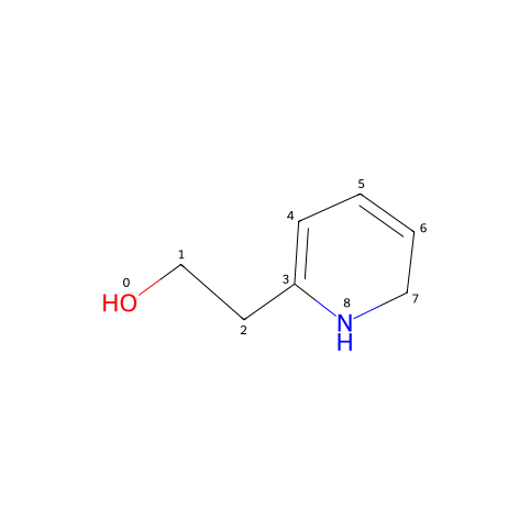 OCCC1=CC=CCN1